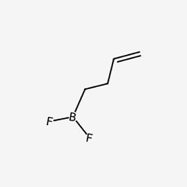 C=CCCB(F)F